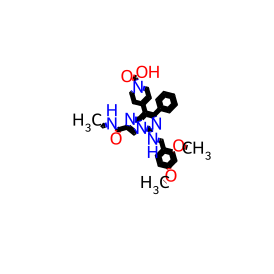 CCNC(=O)c1cn2c(NCc3ccc(OC)cc3OC)nc(-c3ccccc3)c(C3=CCN(C(=O)O)CC3)c2n1